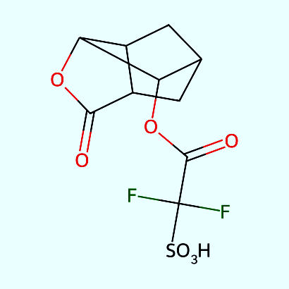 O=C1OC2C3CC(CC13)C2OC(=O)C(F)(F)S(=O)(=O)O